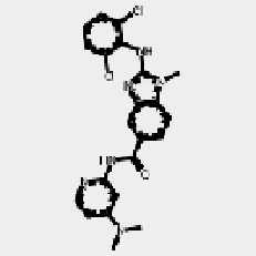 CN(C)c1ccnc(NC(=O)c2ccc3c(c2)nc(Nc2c(Cl)cccc2Cl)n3C)c1